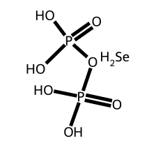 O=P(O)(O)OP(=O)(O)O.[SeH2]